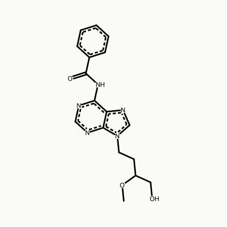 COC(CO)CCn1cnc2c(NC(=O)c3ccccc3)ncnc21